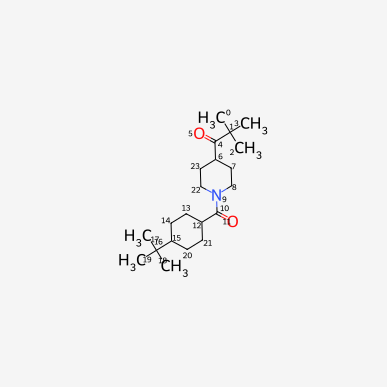 CC(C)(C)C(=O)C1CCN(C(=O)C2CCC(C(C)(C)C)CC2)CC1